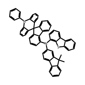 CC1(C)c2ccccc2-c2ccc(N(c3cccc4c3-c3ccccc3C43c4ccccc4N(c4ccccc4)c4ccccc43)c3cccc4c3sc3ccccc34)cc21